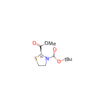 COC(=O)[C@@H]1SCCN1C(=O)OC(C)(C)C